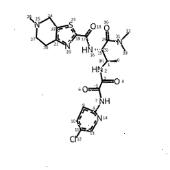 C[C@@H](NC(=O)C(=O)Nc1ccc(Cl)cn1)[C@H](NC(=O)c1nc2c(s1)CN(C)CC2)C(=O)N(C)C